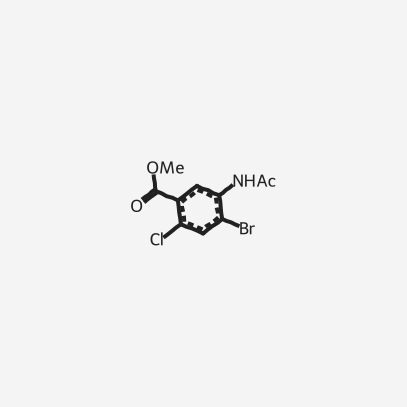 COC(=O)c1cc(NC(C)=O)c(Br)cc1Cl